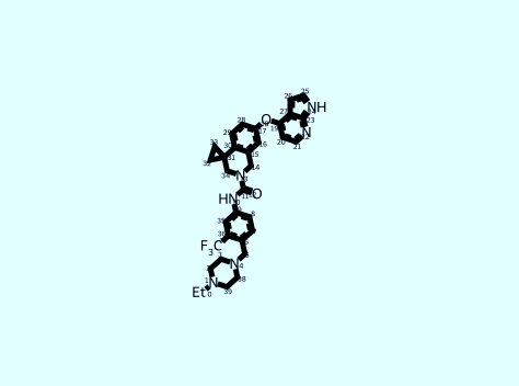 CCN1CCN(Cc2ccc(NC(=O)N3Cc4cc(Oc5ccnc6[nH]ccc56)ccc4C4(CC4)C3)cc2C(F)(F)F)CC1